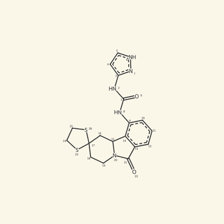 O=C(Nc1cc[nH]n1)Nc1cccc2c1C1CC3(CCN1C2=O)SCCS3